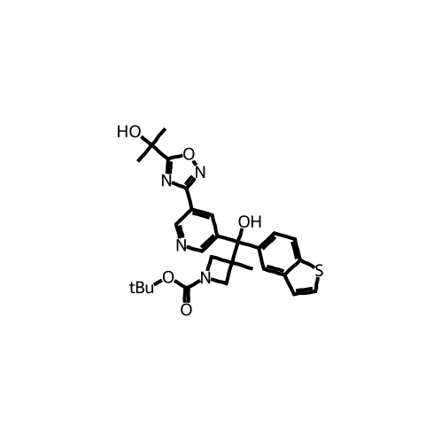 CC(C)(C)OC(=O)N1CC(C)(C(O)(c2cncc(-c3noc(C(C)(C)O)n3)c2)c2ccc3sccc3c2)C1